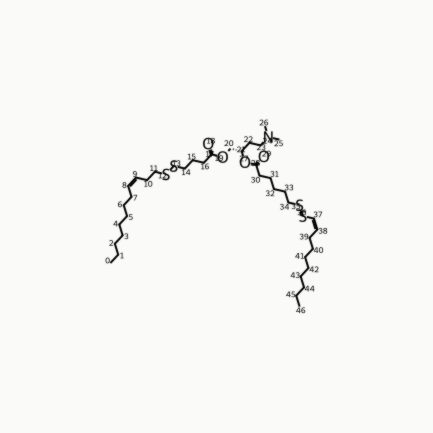 CCCCCCCC/C=C\CCSSCCCC(=O)OC[C@H](CCN(C)C)OC(=O)CCCCCSS/C=C\CCCCCCCC